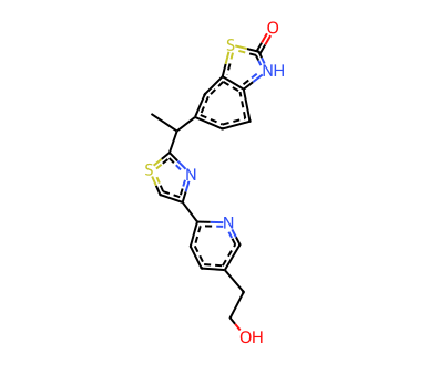 CC(c1ccc2[nH]c(=O)sc2c1)c1nc(-c2ccc(CCO)cn2)cs1